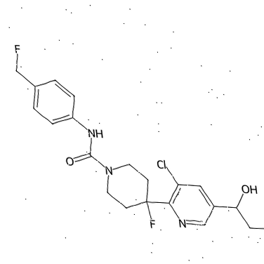 O=C(Nc1ccc(CF)cc1)N1CCC(F)(c2ncc(C(O)CO)cc2Cl)CC1